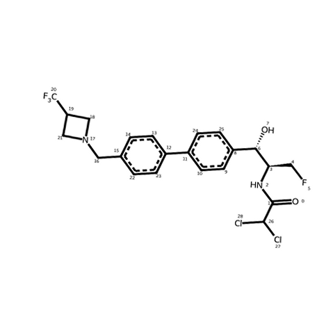 O=C(N[C@H](CF)[C@@H](O)c1ccc(-c2ccc(CN3CC(C(F)(F)F)C3)cc2)cc1)C(Cl)Cl